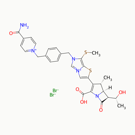 CSc1c2sc(C3=C(C(=O)O)N4C(=O)[C@H]([C@@H](C)O)[C@@H]4[C@H]3C)c[n+]2cn1Cc1ccc(C[n+]2ccc(C(N)=O)cc2)cc1.[Br-].[Br-]